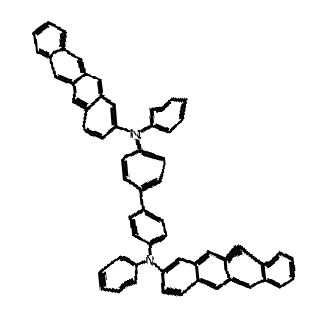 c1ccc(N(c2ccc(-c3ccc(N(c4ccccc4)c4ccc5cc6cc7ccccc7cc6cc5c4)cc3)cc2)c2ccc3cc4cc5ccccc5cc4cc3c2)cc1